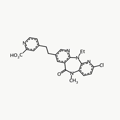 CCN1c2ncc(CCc3ccnc(C(=O)O)c3)cc2C(=O)N(C)c2ccc(Cl)nc21